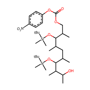 CC(O)C(C)C(O[Si](C)(C)C(C)(C)C)C(C)CC(C)C(O[Si](C)(C)C(C)(C)C)C(C)COC(=O)Oc1ccc([N+](=O)[O-])cc1